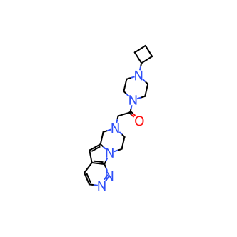 O=C(CN1CCn2c(cc3ccnnc32)C1)N1CCN(C2CCC2)CC1